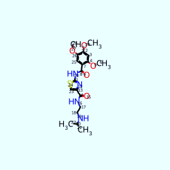 COc1cc(OC)c(C(=O)Nc2nc(C(=O)NCCNC(C)C)cs2)cc1OC